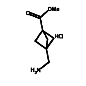 COC(=O)C12CC(CN)(C1)C2.Cl